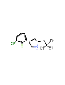 CCC(CC)(CC)CC1CC(c2cccc(Cl)c2F)CN1